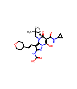 CC(C)(C)Cn1c(=O)c(C(=O)NC2CC2)c(O)n2nc(NC(=O)O)c(/C=C/C3CCOCC3)c12